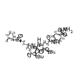 CC(C)(C)OC(=O)C(CCCCNC(=O)c1cccc(I)c1)NC(=O)N[C@@H](CCC(=O)Nc1ccc(S(N)(=O)=O)cc1)C(=O)OC(C)(C)C